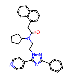 O=C(Cc1cccc2ccccc12)N(CCn1nc(-c2ccccc2)nc1-c1ccncc1)C1CCCC1